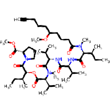 C#CCCCC(CCCC(=O)N(C)[C@H](C(=O)N[C@H](C(=O)N[C@H](C(=O)N(C)[C@H](C(=O)O[C@H](C(=O)N1CCC[C@H]1C(=O)OC)[C@@H](C)CC)C(C)C)C(C)C)C(C)C)[C@@H](C)CC)OC